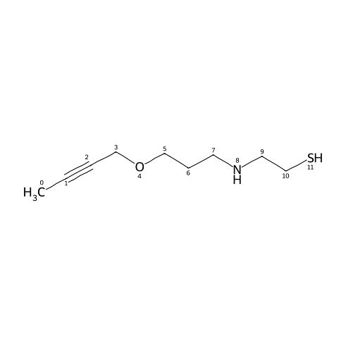 CC#CCOCCCNCCS